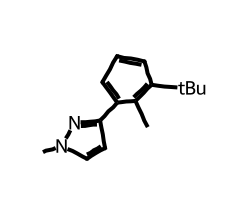 Cc1c(-c2ccn(C)n2)cccc1C(C)(C)C